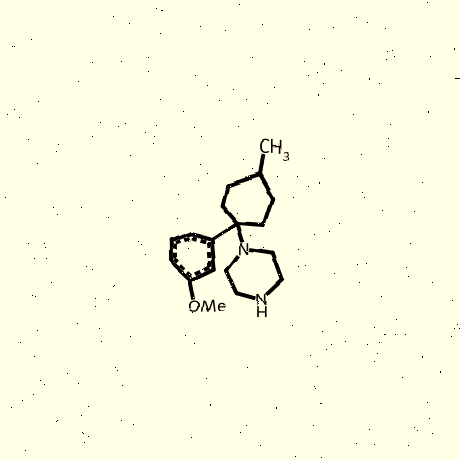 COc1cccc(C2(N3CCNCC3)CCC(C)CC2)c1